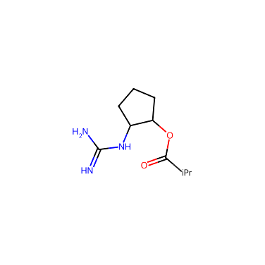 CC(C)C(=O)OC1CCCC1NC(=N)N